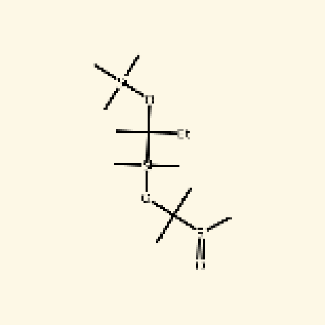 CCC(C)(O[Si](C)(C)C)[Si](C)(C)OC(C)(C)[Si](C)=O